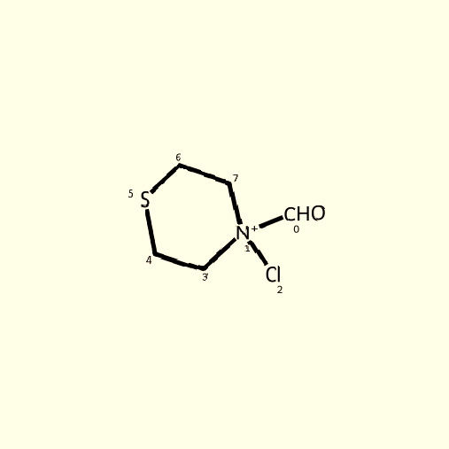 O=C[N+]1(Cl)CCSCC1